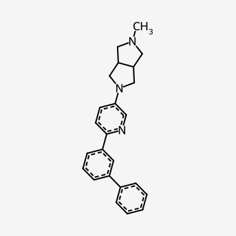 CN1CC2CN(c3ccc(-c4cccc(-c5ccccc5)c4)nc3)CC2C1